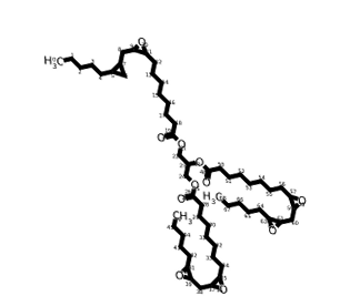 CCCCCC1CC1CC1OC1CCCCCCCC(=O)OCC(COC(=O)CCCCCCCC1OC1CC1OC1CCCCC)OC(=O)CCCCCCCC1OC1CC1OC1CCCCC